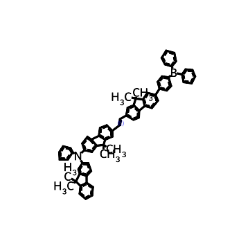 CC1(C)c2cc(/C=C/c3ccc4c(c3)C(C)(C)c3cc(N(c5ccccc5)c5ccc6c(c5)C(C)(C)c5ccccc5-6)ccc3-4)ccc2-c2ccc(-c3ccc(B(c4ccccc4)c4ccccc4)cc3)cc21